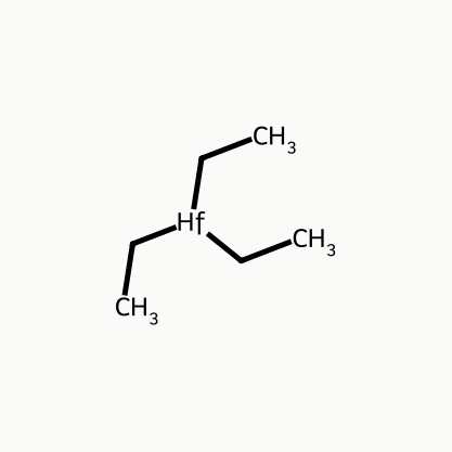 C[CH2][Hf]([CH2]C)[CH2]C